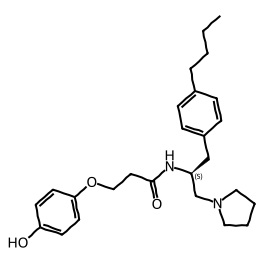 CCCCc1ccc(C[C@@H](CN2CCCC2)NC(=O)CCOc2ccc(O)cc2)cc1